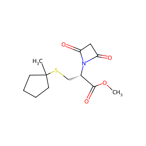 COC(=O)[C@H](CSC1(C)CCCC1)N1C(=O)CC1=O